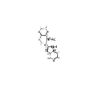 CC(=O)N1c2ccccc2CCC1c1nc2ccccc2[nH]1